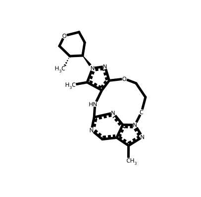 Cc1nn2c3nc(ncc13)Nc1c(nn([C@@H]3CCOC[C@H]3C)c1C)OCCC2